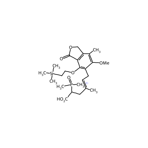 COc1c(C)c2c(c(OCC[Si](C)(C)C)c1C/C=C(\C)CC(C(=O)O)P(C)(C)=O)C(=O)OC2